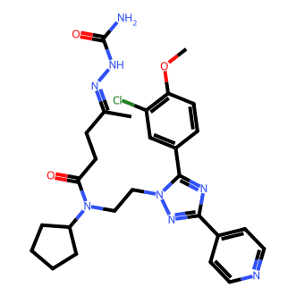 COc1ccc(-c2nc(-c3ccncc3)nn2CCN(C(=O)CC/C(C)=N/NC(N)=O)C2CCCC2)cc1Cl